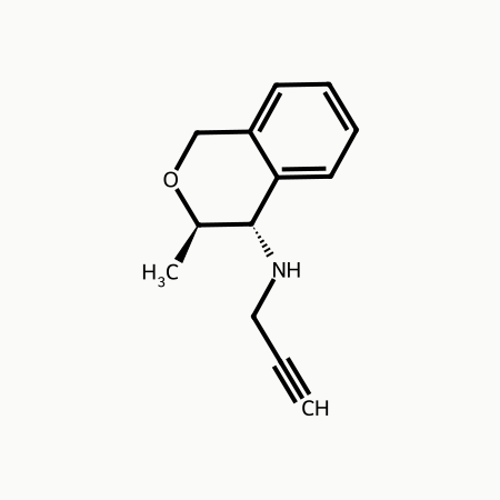 C#CCN[C@H]1c2ccccc2CO[C@@H]1C